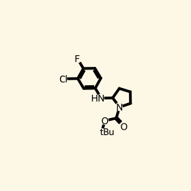 CC(C)(C)OC(=O)N1CCCC1Nc1ccc(F)c(Cl)c1